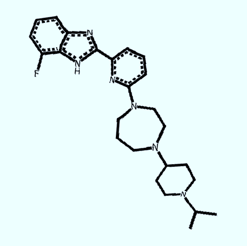 CC(C)N1CCC(N2CCCN(c3cccc(-c4nc5cccc(F)c5[nH]4)n3)CC2)CC1